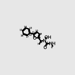 CNC(=O)N(O)C(C)c1ccc(-c2ccccc2)o1